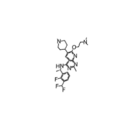 Cc1nc(N[C@H](C)c2cccc(C(F)F)c2F)c2cc(C3CCN(C)CC3)c(OCCN(C)C)nc2n1